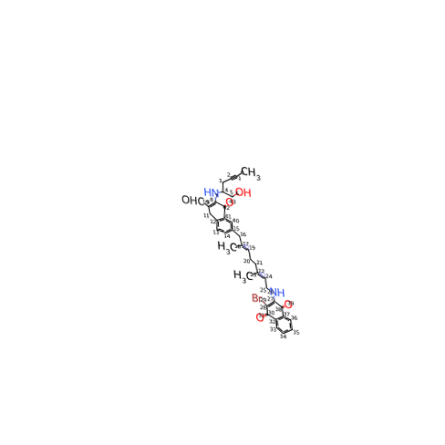 CC#CCC(CO)NC1=C(C=O)Cc2ccc(C/C(C)=C/CC/C(C)=C/CNC3=C(Br)C(=O)c4ccccc4C3=O)cc2C1=O